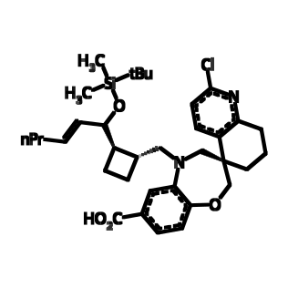 CCC/C=C/C(O[Si](C)(C)C(C)(C)C)[C@@H]1CC[C@H]1CN1C[C@@]2(CCCc3nc(Cl)ccc32)COc2ccc(C(=O)O)cc21